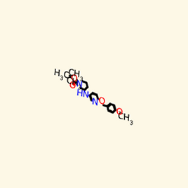 COc1ccc(COc2ccc(N[C@@H]3CCCN(C(=O)OC(C)(C)C)C3)cn2)cc1